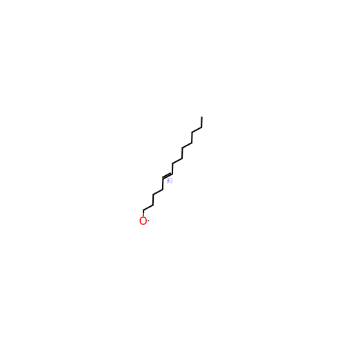 CCCCCCC/C=C/CCCC[O]